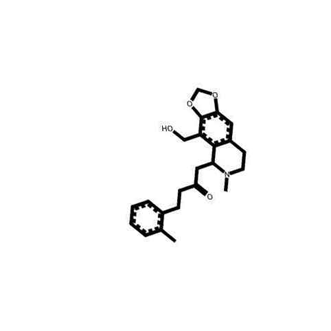 Cc1ccccc1CCC(=O)CC1c2c(cc3c(c2CO)OCO3)CCN1C